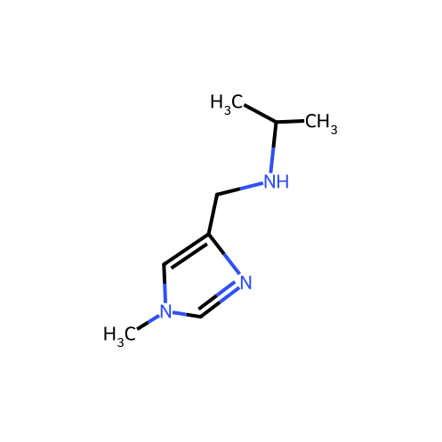 CC(C)NCc1cn(C)cn1